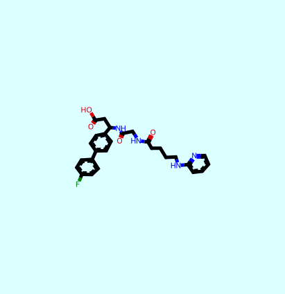 O=C(O)CC(NC(=O)CNC(=O)CCCCNc1ccccn1)c1ccc(-c2ccc(F)cc2)cc1